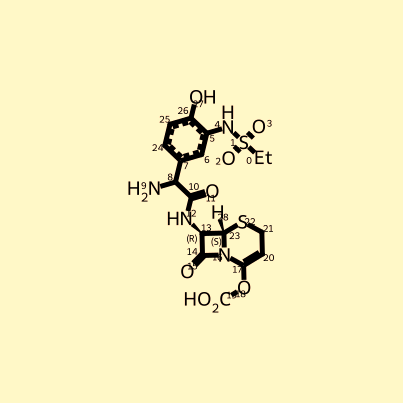 CCS(=O)(=O)Nc1cc(C(N)C(=O)N[C@@H]2C(=O)N3C(OC(=O)O)=CCS[C@@H]23)ccc1O